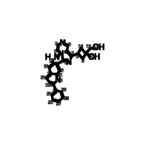 N[N+]12C=CN=CC1=C(C1CC(O)(CO)C1)N=C2c1ccc2ccc(-c3ccccc3)nc2c1